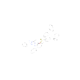 c1ccc(-c2nc3cc(-c4ccc5c(c4)C4(c6ccccc6-c6ccccc6-5)c5ccccc5-c5cc6c(cc54)sc4ccccc46)ccc3n2-c2ccccc2)cc1